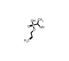 C=CCOP(=O)(O)C(C)CCC